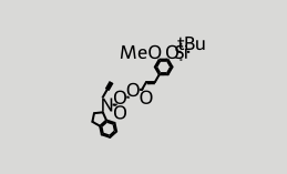 C#CCN(C(=O)OCOC(=O)/C=C/c1ccc(O[Si](C)(C)C(C)(C)C)c(OC)c1)[C@@H]1CCc2ccccc21